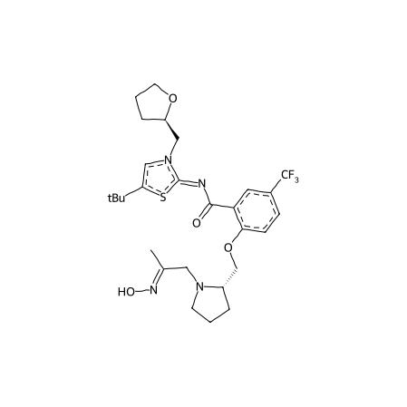 CC(CN1CCC[C@H]1COc1ccc(C(F)(F)F)cc1C(=O)N=c1sc(C(C)(C)C)cn1C[C@H]1CCCO1)=NO